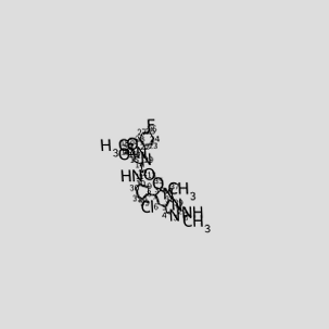 CNc1ncc2cc(-c3cc(NC(=O)c4cc(S(C)(=O)=O)n(-c5ccc(F)cc5)n4)ccc3Cl)c(=O)n(C)c2n1